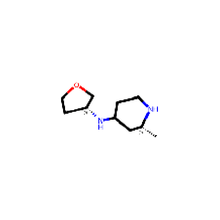 C[C@@H]1CC(N[C@@H]2CCOC2)CCN1